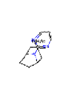 CC(=O)NC1(C)CC2CCC(C1)N2c1ncccn1